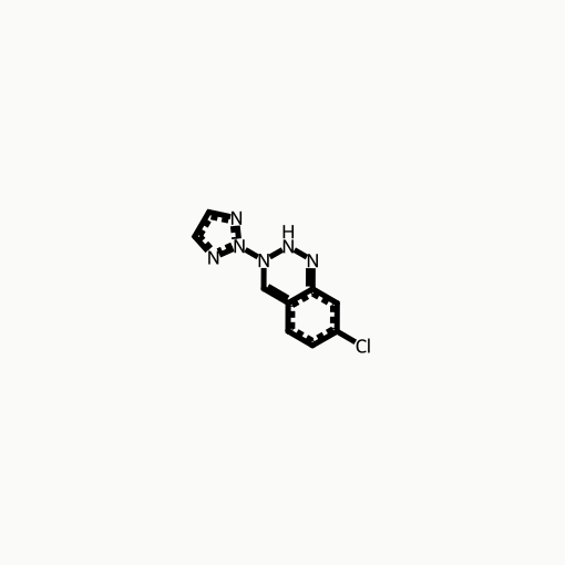 Clc1ccc2c(c1)=NNN(n1nccn1)C=2